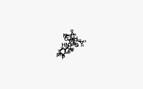 N#CC1(NC(=O)[C@H](CS(=O)(=O)CC2CC2)N[C@@H](c2ccc(F)c(F)c2)C(F)(F)F)CC1